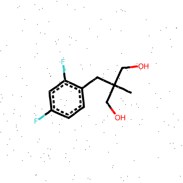 CC(CO)(CO)Cc1ccc(F)cc1F